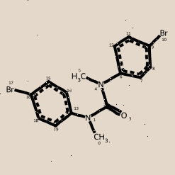 CN(C(=O)N(C)c1ccc(Br)cc1)c1ccc(Br)cc1